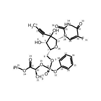 CC#CC1(O)[C@@H](O)[C@@H](COP(=O)(Oc2ccccc2)O[C@@H](C)C(=O)OC(C)C)O[C@H]1n1cc(F)c(=O)[nH]c1=O